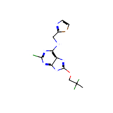 CC(F)(F)COc1nc2c(NCc3nccs3)nc(Cl)nc2[nH]1